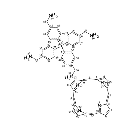 C1=Cc2cc3ccc(cc4nc(cc5ccc(cc1n2)[nH]5)C=C4)[nH]3.NCc1cc[c]([Fe]([c]2ccc(CN)cc2)([c]2ccc(CN)cc2)[c]2ccc(CN)cc2)cc1